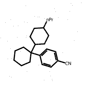 CCCC1CCC(C2(c3ccc(C#N)cc3)CCCCC2)CC1